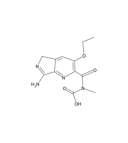 CCOc1cc2c(nc1C(=O)N(C)C(=O)O)C(N)=NC2